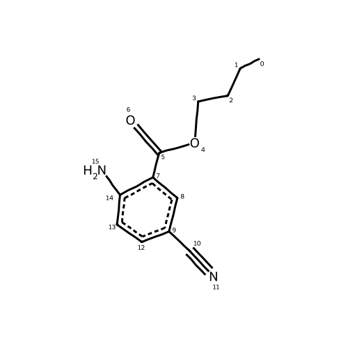 CCCCOC(=O)c1cc(C#N)ccc1N